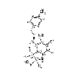 CN1C(=O)c2[nH]c(Cc3ccc(C(F)(F)F)cc3)nc2N2C1=N[C@H]1COC[C@H]12